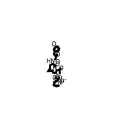 COc1ccc2oc(C(=O)NC(CC3CC3)C(=O)N3CCC4C3C(=O)CN4S(=O)(=O)c3cccc[n+]3[O-])cc2c1